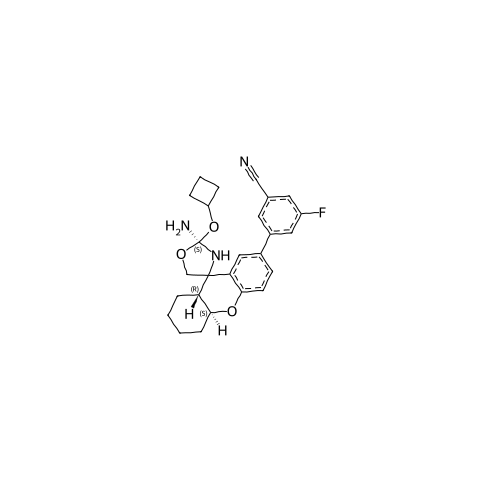 N#Cc1cc(F)cc(-c2ccc3c(c2)C2(CO[C@@](N)(OC4CCC4)N2)[C@H]2CCCC[C@@H]2O3)c1